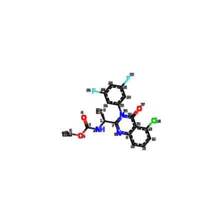 CC[C@H](NC(=O)OC(C)(C)C)c1nc2cccc(Cl)c2c(=O)n1-c1cc(F)cc(F)c1